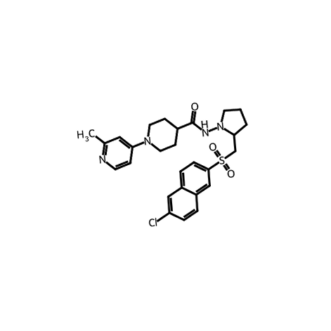 Cc1cc(N2CCC(C(=O)NN3CCCC3CS(=O)(=O)c3ccc4cc(Cl)ccc4c3)CC2)ccn1